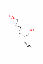 C=CC(CO)CCCCO